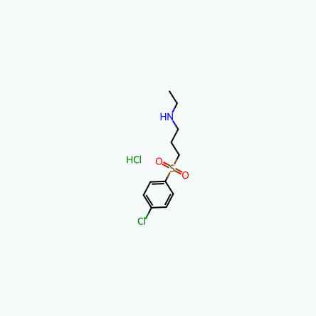 CCNCCCS(=O)(=O)c1ccc(Cl)cc1.Cl